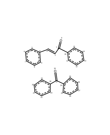 O=C(C=Cc1ccccc1)c1ccccc1.O=C(c1ccccc1)c1ccccc1